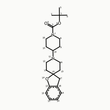 CC(C)(C)OC(=O)N1CCC(N2CCC3(CC2)Cc2ccccc2O3)CC1